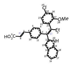 CC/C(=C(/c1ccc(/C=C/C(=O)O)cc1)c1cc2ccccc2[nH]1)c1ccc(Cl)cc1OC